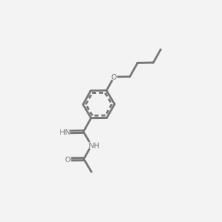 CCCCOc1ccc(C(=N)NC(C)=O)cc1